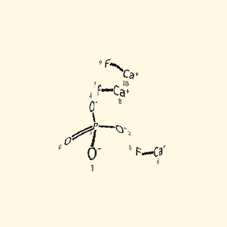 O=P([O-])([O-])[O-].[F][Ca+].[F][Ca+].[F][Ca+]